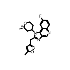 Cc1cc(Cc2nc3cnc4ccc(F)cc4c3n2C2CCO[C@H](C)C2)no1